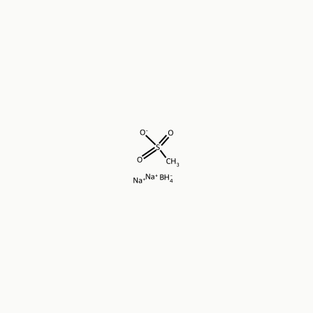 CS(=O)(=O)[O-].[BH4-].[Na+].[Na+]